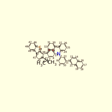 C[Si]1(C)c2cc(N(c3cccc(-c4ccc5ccccc5c4)c3)c3ccccc3-c3ccccc3)ccc2-c2c1ccc1c2sc2ccccc21